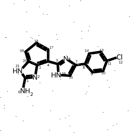 Nc1nc2c(-c3nc(-c4ccc(Cl)cc4)c[nH]3)cccc2[nH]1